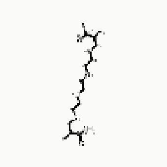 CC(CSCCOCCOCCSCC(C)C(N)=O)C(N)=O